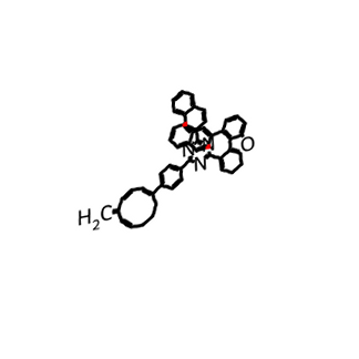 C=C1/C=C\C=C(\c2ccc(-c3nc(C4=CCCc5oc6cccc(-c7ccc8ccccc8c7)c6c54)nc(C4C=Cc5ccccc5C4)n3)cc2)CCC/C=C\1